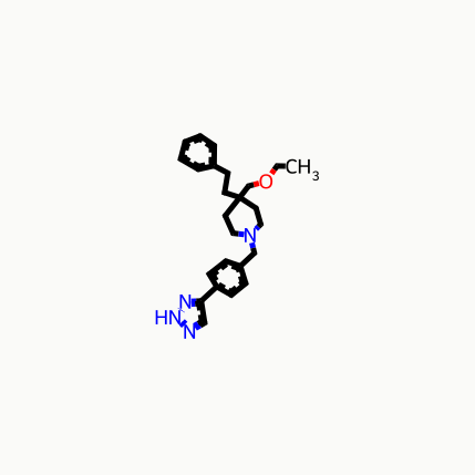 CCOCC1(CCc2ccccc2)CCN(Cc2ccc(-c3cn[nH]n3)cc2)CC1